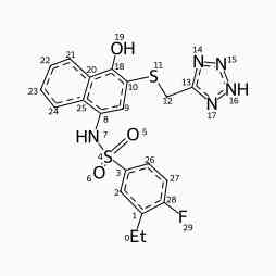 CCc1cc(S(=O)(=O)Nc2cc(SCc3nn[nH]n3)c(O)c3ccccc23)ccc1F